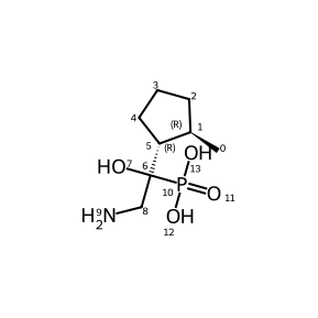 C[C@@H]1CCC[C@H]1C(O)(CN)P(=O)(O)O